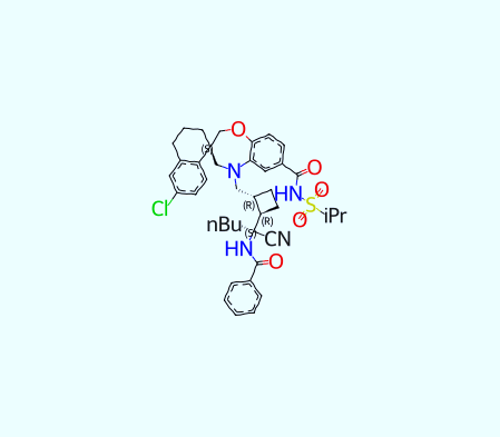 CCCC[C@](C#N)(NC(=O)c1ccccc1)[C@@H]1CC[C@H]1CN1C[C@@]2(CCCc3cc(Cl)ccc32)COc2ccc(C(=O)NS(=O)(=O)C(C)C)cc21